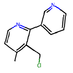 Cc1ccnc(-c2cccnc2)c1CCl